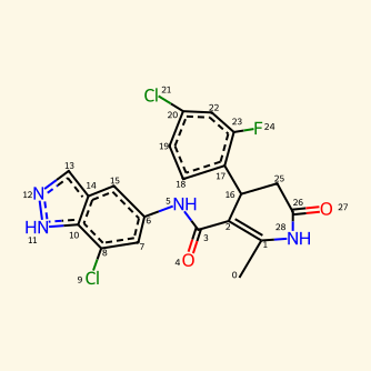 CC1=C(C(=O)Nc2cc(Cl)c3[nH]ncc3c2)C(c2ccc(Cl)cc2F)CC(=O)N1